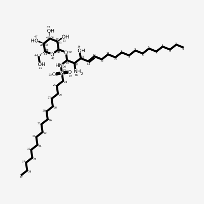 CCCCCCCCCCCCCC=CC(O)C(N)C(NS(=O)(=O)CCCCCCCCCCCCCCCC)OC1O[C@H](CO)[C@@H](O)[C@H](O)[C@H]1O